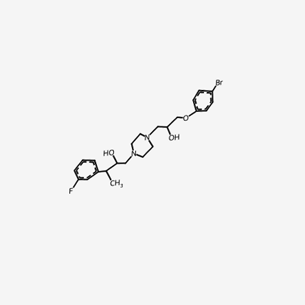 CC(c1cccc(F)c1)C(O)CN1CCN(CC(O)COc2ccc(Br)cc2)CC1